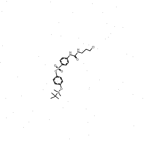 CC(C)(C)[Si](C)(C)Oc1ccc(OS(=O)(=O)c2ccc(NC(=O)NCCCCl)cc2)cc1